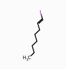 CCCCCC/C=C/I